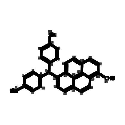 CC(C)(C)c1ccc(N(c2ccc(C(C)(C)C)cc2)c2ccc3ccc4c(C=O)ccc5ccc2c3c54)cc1